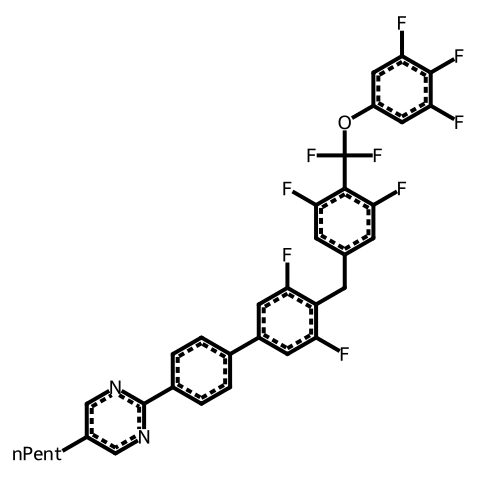 CCCCCc1cnc(-c2ccc(-c3cc(F)c(Cc4cc(F)c(C(F)(F)Oc5cc(F)c(F)c(F)c5)c(F)c4)c(F)c3)cc2)nc1